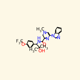 CN1C=C(n2cnc3ccccc32)N=C(C(=O)NC(c2ccc(OC(F)(F)F)cc2)C(C)(C)O)C1